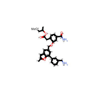 COCC(C)OC(=O)Cc1ccc(C(N)=O)cc1OCc1cc(-c2cccc(CN)c2)c2oc(C)cc2c1